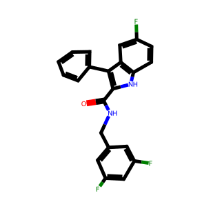 O=C(NCc1cc(F)cc(F)c1)c1[nH]c2ccc(F)cc2c1-c1ccccc1